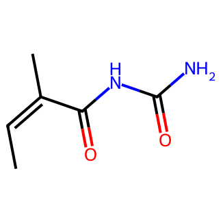 C/C=C(/C)C(=O)NC(N)=O